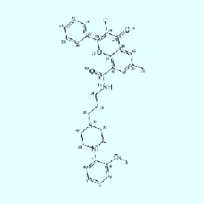 COc1ccccc1N1CCN(CCCNC(=O)c2cc(C)cc3c(=O)c(C)c(-c4ccccc4)oc23)CC1